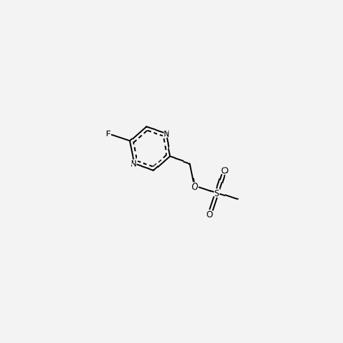 CS(=O)(=O)OCc1cnc(F)cn1